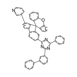 c1ccc(-c2cccc(-c3nc(-c4ccccc4)nc(-c4ccc5c(c4)C4(c6ccccc6Oc6ccccc64)c4cc(-c6cccnc6)ccc4-5)n3)c2)cc1